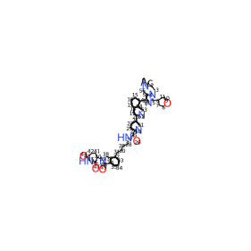 CC(=O)N1CCn2c(C3CCOCC3)nc(-c3cccc4cc(-c5ccc(C(=O)NCCCCc6cccc7c6CN(C6CCC(=O)NC6=O)C7=O)nc5)ncc34)c2C1